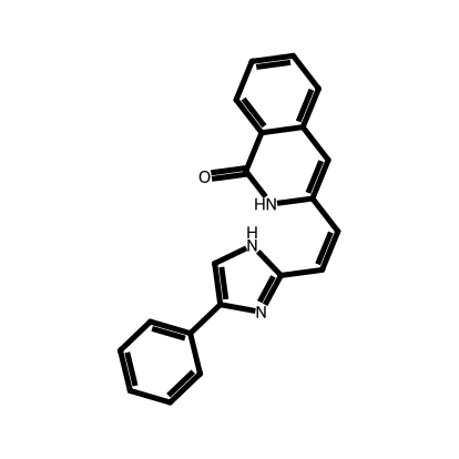 O=c1[nH]c(/C=C\c2nc(-c3ccccc3)c[nH]2)cc2ccccc12